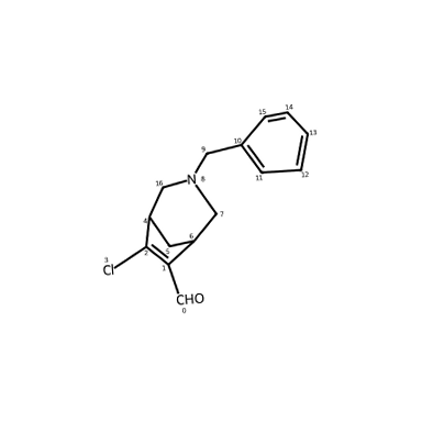 O=CC1=C(Cl)C2CC1CN(Cc1ccccc1)C2